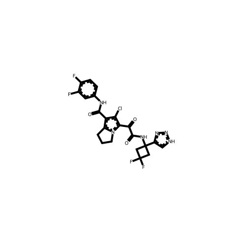 O=C(NC1(c2c[nH]nn2)CC(F)(F)C1)C(=O)c1c(Cl)c(C(=O)Nc2ccc(F)c(F)c2)c2n1CCC2